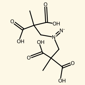 CC(C[N+](=[N-])CC(C)(C(=O)O)C(=O)O)(C(=O)O)C(=O)O